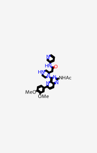 COc1ccc(-c2ccc3nc(NC(C)=O)nc(N4CCNCC4CC(=O)Nc4cccnc4)c3n2)cc1OC